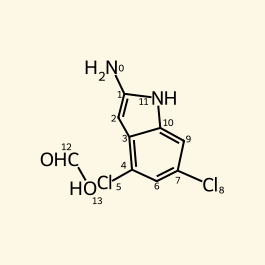 Nc1cc2c(Cl)cc(Cl)cc2[nH]1.O=CO